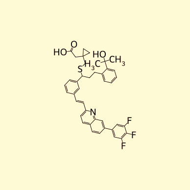 CC(C)(O)c1ccccc1CCC(SCC1(CC(=O)O)CC1)c1cccc(/C=C/c2ccc3ccc(-c4cc(F)c(F)c(F)c4)cc3n2)c1